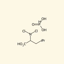 CC(C)CC(C(=O)O)N(Cl)Cl.O=[PH](O)O